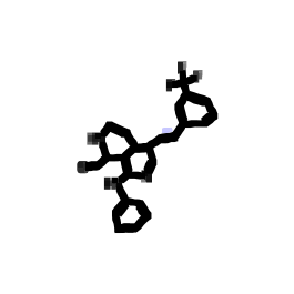 O=CC1NC=Cc2c(/C=C/c3cccc(C(F)(F)F)c3)cnc(Nc3ccccc3)c21